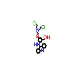 OCc1cc(Nc2c3ccccc3nc3ccccc23)cc(OCCN(CCCl)CCCl)c1